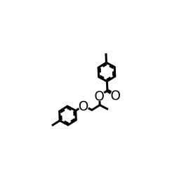 Cc1ccc(OCC(C)OC(=O)c2ccc(C)cc2)cc1